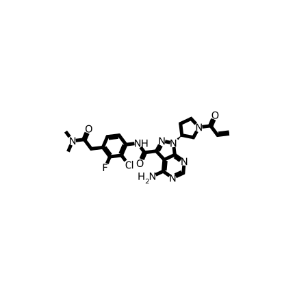 C=CC(=O)N1CC[C@@H](n2nc(C(=O)Nc3ccc(CC(=O)N(C)C)c(F)c3Cl)c3c(N)ncnc32)C1